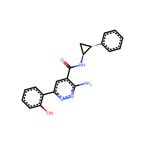 Nc1nnc(-c2ccccc2O)cc1C(=O)N[C@H]1C[C@@H]1c1ccccc1